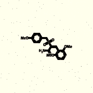 COc1ccc(CS(=O)(=O)/C(=C/c2c(OC)cccc2OC)C(N)=O)cc1